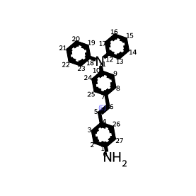 Nc1ccc(/C=C/c2ccc(N(c3ccccc3)c3ccccc3)cc2)cc1